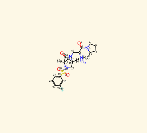 N#C[C@@H]1CCCN1C(=O)[C@@H](N)CN1C(=O)[C@@H]2C[C@H]1CN2S(=O)(=O)c1cccc(F)c1